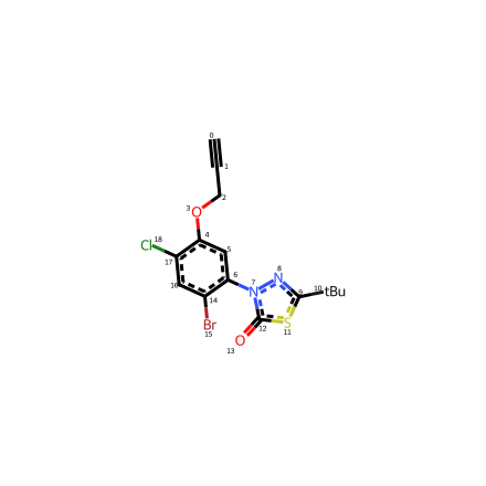 C#CCOc1cc(-n2nc(C(C)(C)C)sc2=O)c(Br)cc1Cl